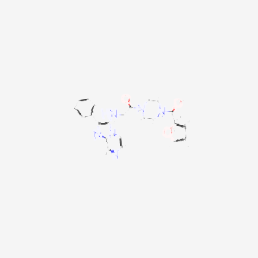 O=C(CNc1c(-c2ccccc2)nc2cnccn12)N1CCN(C(=O)c2ccco2)CC1